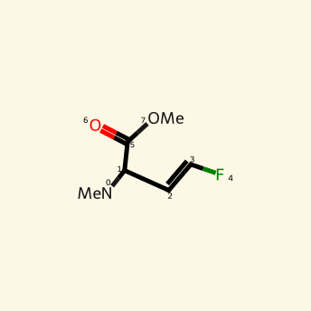 CNC(C=CF)C(=O)OC